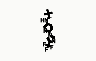 CC(C)(C)[CH]Nc1ccc(-n2cnc(C(F)(F)F)c2)nc1